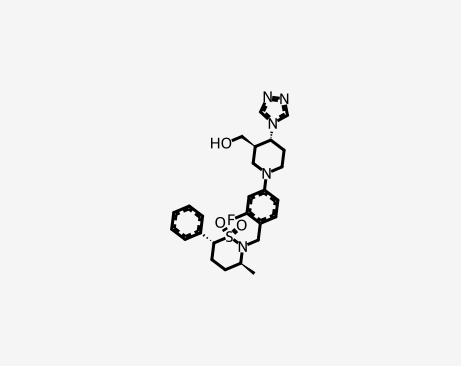 C[C@H]1CC[C@H](c2ccccc2)S(=O)(=O)N1Cc1ccc(N2CC[C@@H](n3cnnc3)[C@H](CO)C2)cc1F